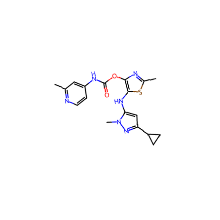 Cc1cc(NC(=O)Oc2nc(C)sc2Nc2cc(C3CC3)nn2C)ccn1